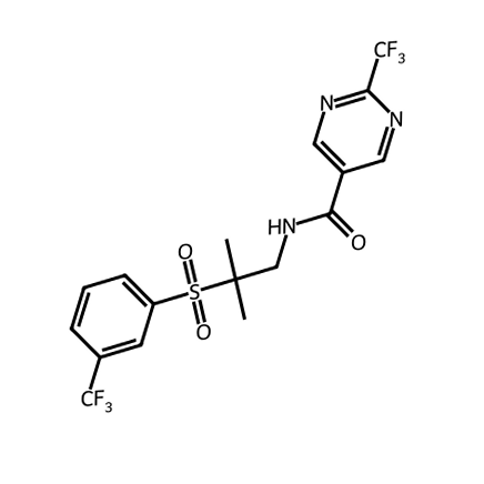 CC(C)(CNC(=O)c1cnc(C(F)(F)F)nc1)S(=O)(=O)c1cccc(C(F)(F)F)c1